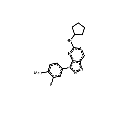 COc1ccc(-n2nnc3cnc(NC4CCCC4)nc32)cc1F